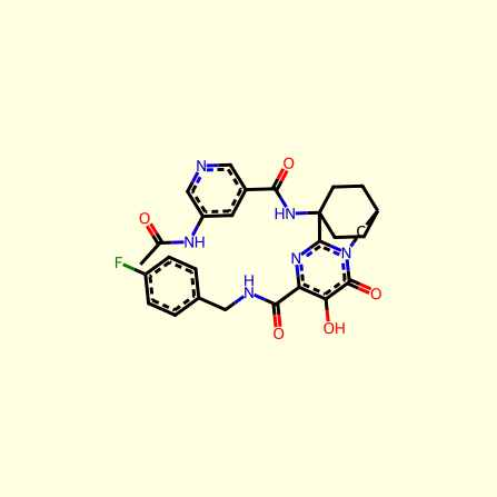 CC(=O)Nc1cncc(C(=O)NC23CCC(CC2)Cn2c3nc(C(=O)NCc3ccc(F)cc3)c(O)c2=O)c1